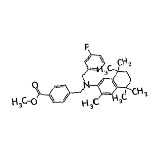 COC(=O)c1ccc(CN(Cc2cccc(F)c2)c2cc3c(cc2C)C(C)(C)CCC3(C)C)cc1